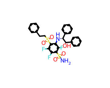 NS(=O)(=O)c1c(F)c(F)c(S(=O)(=O)CCc2ccccc2)c(N[C@H](c2ccccc2)[C@H](O)c2ccccc2)c1F